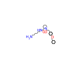 NCCCCCCNC(=O)C1CCCCN1C(=O)Cc1ccc(OCc2ccccc2)cc1